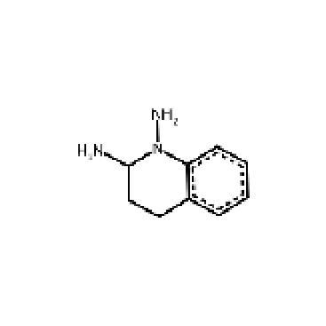 NC1CCc2ccccc2N1N